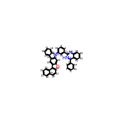 c1ccc(C2NC(c3cccc(-n4c5ccccc5c5cc6c(cc54)oc4ccc5ccccc5c46)c3)=Nc3ccccc32)cc1